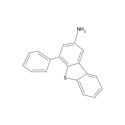 Nc1cc(-c2ccccc2)c2sc3ccccc3c2c1